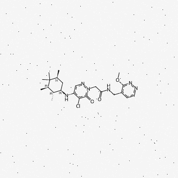 COc1nnccc1CNC(=O)Cn1ncc(N[C@@H]2C[C@H](C)C(C)(C)[C@H](C)[C@H]2C)c(Cl)c1=O